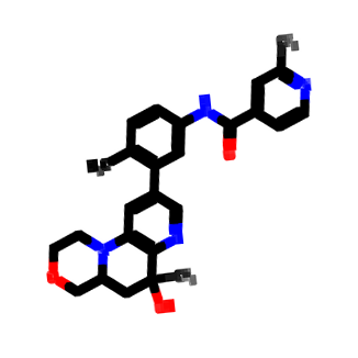 Cc1ccc(NC(=O)c2ccnc(C(F)(F)F)c2)cc1-c1cnc2c(c1)N1CCOCC1CC2(O)C(F)(F)F